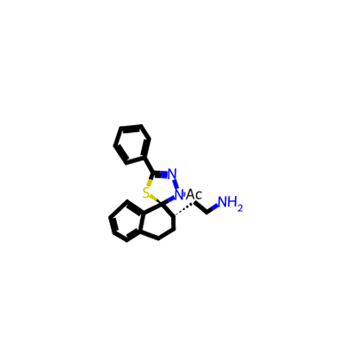 CC(=O)N1N=C(c2ccccc2)S[C@@]12c1ccccc1CC[C@H]2CCN